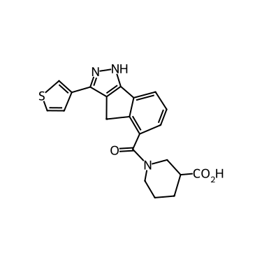 O=C(O)C1CCCN(C(=O)c2cccc3c2Cc2c(-c4ccsc4)n[nH]c2-3)C1